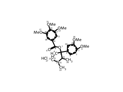 COc1ccc(C(C)(OC(=O)c2cc(OC)c(OC)c(OC)c2)C(C)N(C)C)cc1OC.Cl